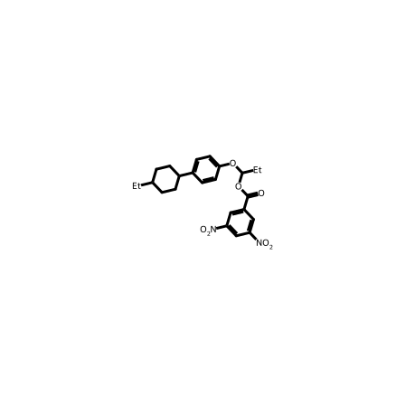 CCC1CCC(c2ccc(OC(CC)OC(=O)c3cc([N+](=O)[O-])cc([N+](=O)[O-])c3)cc2)CC1